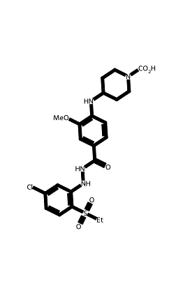 CCS(=O)(=O)c1ccc(Cl)cc1NNC(=O)c1ccc(NC2CCN(C(=O)O)CC2)c(OC)c1